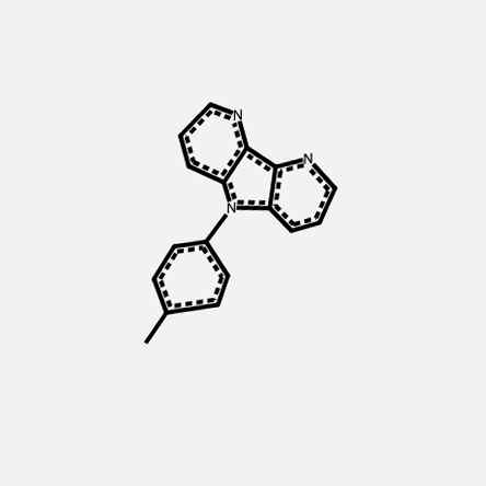 Cc1ccc(-n2c3cccnc3c3ncccc32)cc1